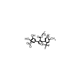 CCOC(=O)c1c(-c2cc(O)c(O)c([N+](=O)[O-])c2)coc1-c1c[n+]([O-])c(C)cc1C(F)(F)F